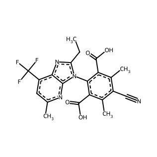 CCc1nc2c(C(F)(F)F)cc(C)nc2n1-c1c(C(=O)O)c(C)c(C#N)c(C)c1C(=O)O